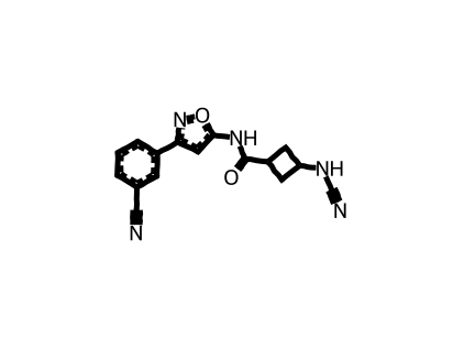 N#CNC1CC(C(=O)Nc2cc(-c3cccc(C#N)c3)no2)C1